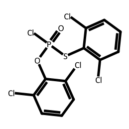 O=P(Cl)(Oc1c(Cl)cccc1Cl)Sc1c(Cl)cccc1Cl